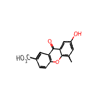 Cc1cc(O)cc2c(=O)c3cc(C(=O)O)ccc3oc12